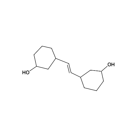 OC1CCCC(C=CC2CCCC(O)C2)C1